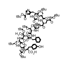 C[C@@H](OC(C)(C)C)[C@H](NC(=O)CNC(=O)[C@H](CCC(=O)NOC(C)(C)C)NC(=O)[C@@H](COC(C)(C)C)NC(=O)[C@H](Cc1cn(C(=O)OC(C)(C)C)cn1)NC(=O)OC(C)(C)C)C(=O)N[C@@H](Cc1ccccc1)C(=O)N[C@H](C(=O)N[C@@H](COC(C)(C)C)C(=O)N[C@@H](CC(=O)OC(C)(C)C)C(=O)N[C@@H](Cc1ccc(O)cc1)C(=O)O)[C@@H](C)OC(C)(C)C